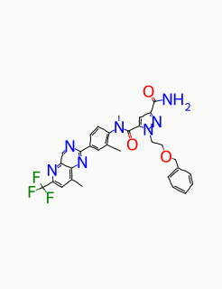 Cc1cc(-c2ncc3nc(C(F)(F)F)cc(C)c3n2)ccc1N(C)C(=O)c1cc(C(N)=O)nn1CCOCc1ccccc1